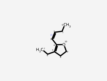 CC/C=C\C1=C(CC)CCO1